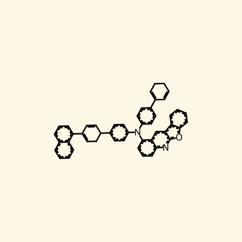 C1=CC(c2ccc(N(c3ccc(C4C=CC(c5cccc6ccccc56)=CC4)cc3)c3cccc4nc5oc6ccccc6c5cc34)cc2)=CCC1